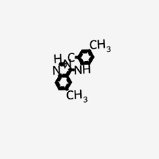 Cc1ccc(Nc2ncnc3ccc(C)cc23)c(C)c1